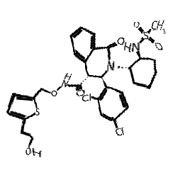 CS(=O)(=O)N[C@H]1CCCC[C@@H]1N1C(=O)c2ccccc2[C@@H](C(=O)NOCc2ccc(CCO)s2)[C@@H]1c1ccc(Cl)cc1Cl